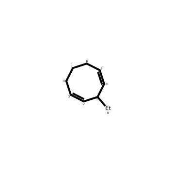 CCC1/C=C\CCC/C=C\1